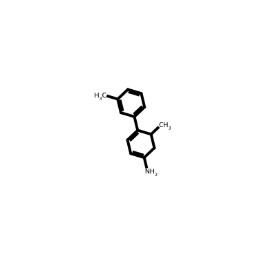 Cc1cccc(C2=CC=C(N)CC2C)c1